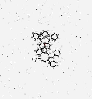 C=C1/C=C\c2c(n(-c3ccccc3)c3ccccc23)CN(c2ccc(-n3c4ccccc4c4ccc5c6ccccc6n(-c6ccccc6)c5c43)cc2)c2ccccc21